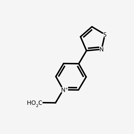 O=C(O)C[n+]1ccc(-c2ccsn2)cc1